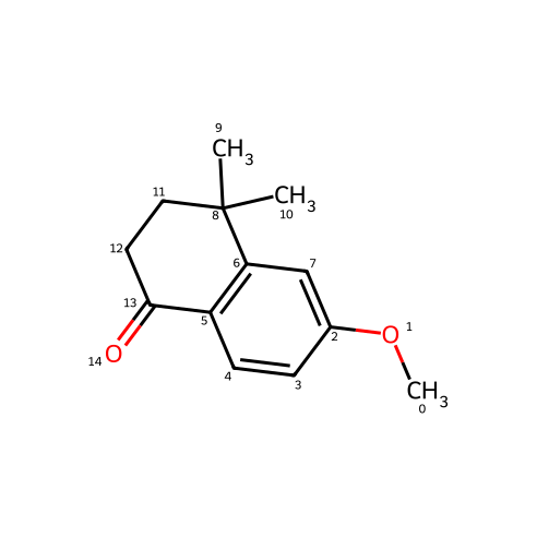 COc1ccc2c(c1)C(C)(C)CCC2=O